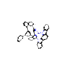 c1ccc(-c2cc(-c3ccccc3)cc(-c3ccc(-n4c5ccccc5c5ccc6c7ccccc7n(-c7nc(-c8ccccc8)cc(-c8ccccc8)n7)c6c54)cc3)c2)cc1